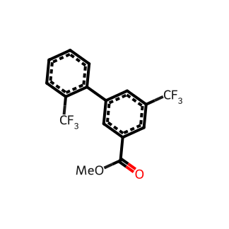 COC(=O)c1cc(-c2ccccc2C(F)(F)F)cc(C(F)(F)F)c1